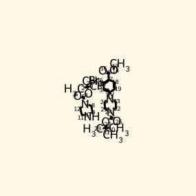 CC(C)(C)OC(=O)N1CCNCC1.COC(=O)c1ccc(N2CCN(C(=O)OC(C)(C)C)CC2)cc1Br